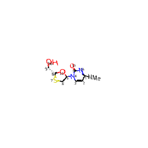 CNc1ccn([C@H]2CS[C@H](CO)O2)c(=O)n1